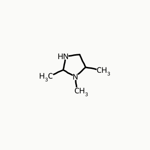 CC1CNC(C)N1C